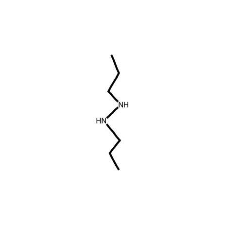 CCCNNCCC